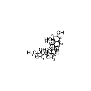 CC(C)[C@@H](O)CO[C@H](C)C1=CC[C@H]2C3=CC=C4C[C@@H](O)C[C@H](O)[C@]4(C)[C@H]3CC[C@]12C